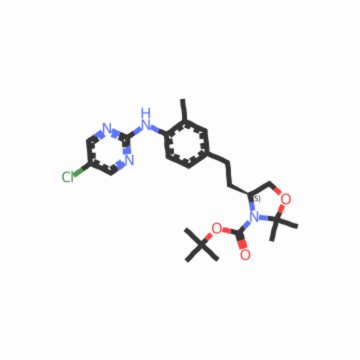 Cc1cc(CC[C@H]2COC(C)(C)N2C(=O)OC(C)(C)C)ccc1Nc1ncc(Cl)cn1